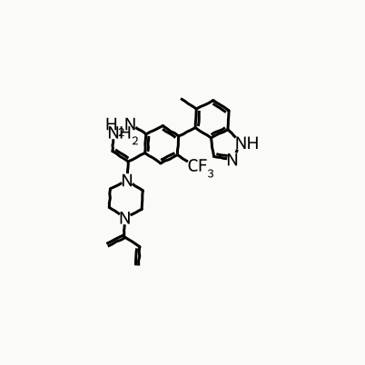 C=CC(=C)N1CCN(/C(=C/N)c2cc(C(F)(F)F)c(-c3c(C)ccc4[nH]ncc34)cc2N)CC1